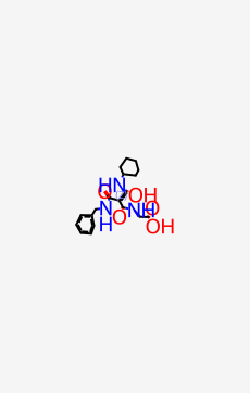 O=C(O)CNC(=O)/C(C(=O)NCc1ccccc1)=C(\O)NC1CCCCC1